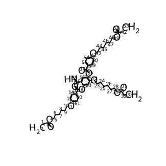 C=CC(=O)OCCCCCCOc1ccc(C(=O)Oc2cc(OCCCCCCOC(=O)C=C)c(OC(=O)c3ccc(OCCCCCCOC(=O)C=C)cc3)cc2C=N)cc1